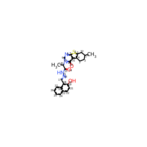 CC1CCc2c(sc3ncn(C(C)C(=O)N/N=C/c4c(O)ccc5ccccc45)c(=O)c23)C1